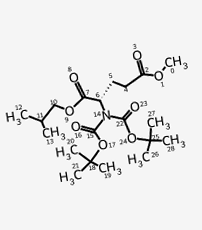 COC(=O)CC[C@@H](C(=O)OCC(C)C)N(C(=O)OC(C)(C)C)C(=O)OC(C)(C)C